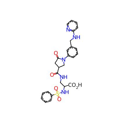 O=C(NCC(NS(=O)(=O)c1ccccc1)C(=O)O)C1CC(=O)N(c2cccc(CNc3ccccn3)c2)C1